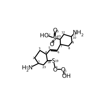 NC1CCC(C=CC2CCC(N)CC2S(=O)(=O)O)C(SOOO)C1